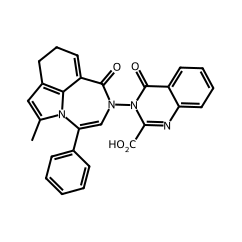 Cc1cc2c3n1C(c1ccccc1)=CN(n1c(C(=O)O)nc4ccccc4c1=O)C(=O)C3=CCC2